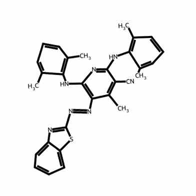 Cc1cccc(C)c1Nc1nc(Nc2c(C)cccc2C)c(N=Nc2nc3ccccc3s2)c(C)c1C#N